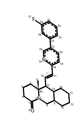 C[C@]12CCCC(=O)N1CC1CCCCC1C2/C=C/c1ccc(-c2cccc(F)c2)cn1